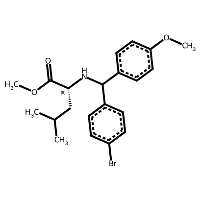 COC(=O)[C@@H](CC(C)C)NC(c1ccc(Br)cc1)c1ccc(OC)cc1